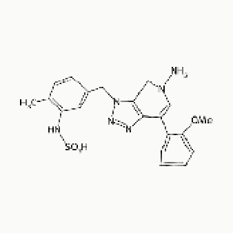 COc1ccccc1C1=CN(N)Cc2c1nnn2Cc1ccc(C)c(NS(=O)(=O)O)c1